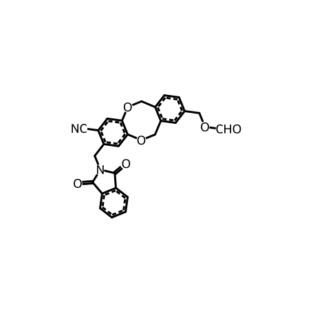 N#Cc1cc2c(cc1CN1C(=O)c3ccccc3C1=O)OCc1cc(COC=O)ccc1CO2